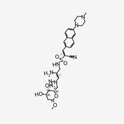 CO[C@@H]1C[C@@H](O)[C@H](O)[C@@H](CN(N)/C=C(\N)CNS(=O)(=O)/C(C#N)=C/c2ccc3cc(N4CCN(C)CC4)ccc3c2)O1